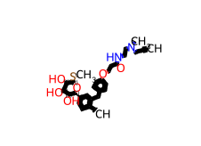 C#CCN(C)CCNC(=O)CCOc1ccc(Cc2cc([C@@H]3O[C@H](SC)[C@@H](O)[C@H](O)[C@H]3O)ccc2C#C)cc1